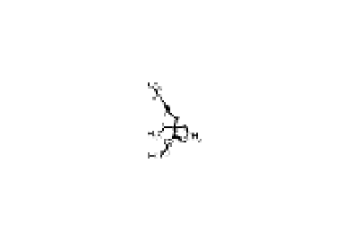 CCC(CC)(C/C=C/OC=O)C(=O)OCO